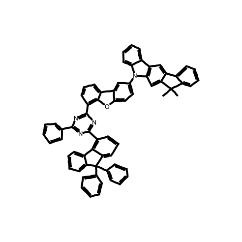 CC1(C)c2ccccc2-c2cc3c4ccccc4n(-c4ccc5oc6c(-c7nc(-c8ccccc8)nc(-c8cccc9c8-c8ccccc8C9(c8ccccc8)c8ccccc8)n7)cccc6c5c4)c3cc21